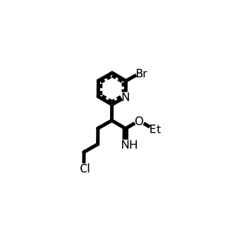 CCOC(=N)C(CCCCl)c1cccc(Br)n1